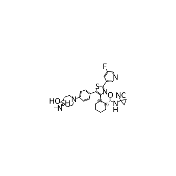 CN=[SH]1(O)CCN(c2ccc(-c3sc(-c4cncc(F)c4)nc3[C@@H]3CCCC[C@H]3C(=O)NC3(C#N)CC3)cc2)CC1